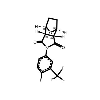 O=C1[C@@H]2[C@H](C(=O)N1c1ccc(F)c(C(F)(F)F)c1)[C@H]1CC[C@@H]2O1